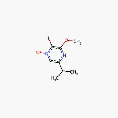 COc1nc(C(C)C)c[n+]([O-])c1I